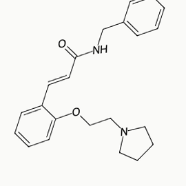 O=C(/C=C/c1ccccc1OCCN1CCCC1)NCc1ccccc1